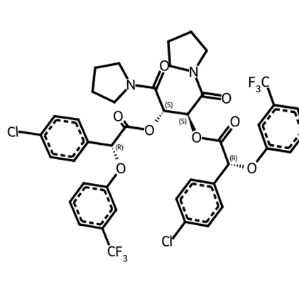 O=C(O[C@H](C(=O)N1CCCC1)[C@H](OC(=O)[C@H](Oc1cccc(C(F)(F)F)c1)c1ccc(Cl)cc1)C(=O)N1CCCC1)[C@H](Oc1cccc(C(F)(F)F)c1)c1ccc(Cl)cc1